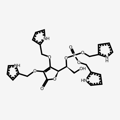 O=C1O[C@H]([C@H](CO)OP(=O)(OCc2ccc[nH]2)OCc2ccc[nH]2)C(OCc2ccc[nH]2)=C1OCc1ccc[nH]1